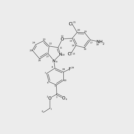 CCOC(=O)c1ccc(-n2nc(Oc3c(Cl)cc(N)cc3Cl)c3ccccc32)c(F)c1